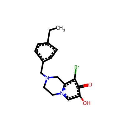 CCc1ccc(CN2CCn3cc(O)c(=O)c(Br)c3C2)cc1